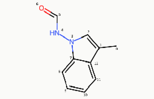 Cc1cn(NC=O)c2ccccc12